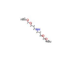 CCCCOCOCCCNCCCOCOCCCC